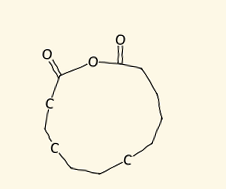 O=C1CCCCCCCCCCC(=O)O1